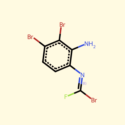 Nc1c(/N=C(\F)Br)ccc(Br)c1Br